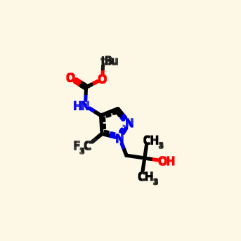 CC(C)(O)Cn1ncc(NC(=O)OC(C)(C)C)c1C(F)(F)F